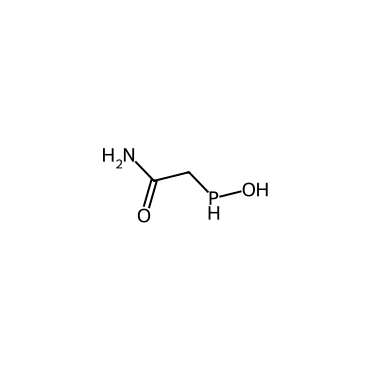 NC(=O)CPO